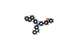 c1ccc2c(c1)ccc1cc(N(c3ccc(-c4ccc5c(c4)oc4ccccc45)cc3)c3ccc(-c4cccc5c4ccc4ccccc45)cc3)ccc12